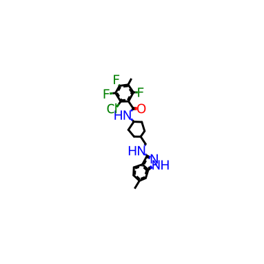 Cc1ccc2c(NCC3CCC(NC(=O)c4c(F)c(C)c(F)c(F)c4Cl)CC3)n[nH]c2c1